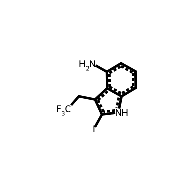 Nc1cccc2[nH]c(I)c(CC(F)(F)F)c12